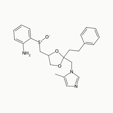 Cc1cncn1CC1(CCc2ccccc2)OCC(C[S+]([O-])c2ccccc2N)O1